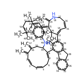 C=C1/C=C\C=C/C/C=C(/c2c(C)c(/C3=C\C=C/CNC(=C)/C(=C\C=C/C)C3(C)C)cc3c2-c2ccccc2C3)C(Nc2ccc3c(c2)C(C)(C)CCC3(C)C)CC1=C